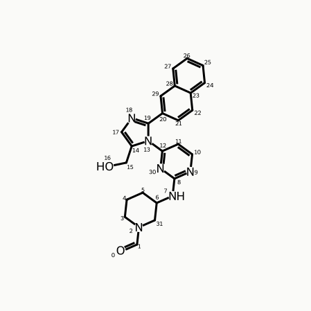 O=CN1CCCC(Nc2nccc(-n3c(CO)cnc3-c3ccc4ccccc4c3)n2)C1